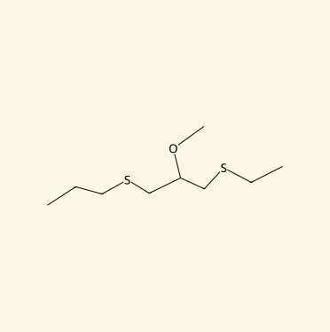 CCCSCC(CSCC)OC